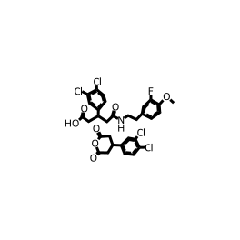 COc1ccc(CCNC(=O)CC(CC(=O)O)c2ccc(Cl)c(Cl)c2)cc1F.O=C1CC(c2ccc(Cl)c(Cl)c2)CC(=O)O1